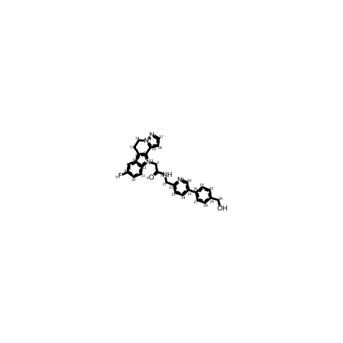 O=C(Cn1c2c(c3cc(F)ccc31)CCn1nccc1-2)NCc1ccc(-c2ccc(CO)cc2)cn1